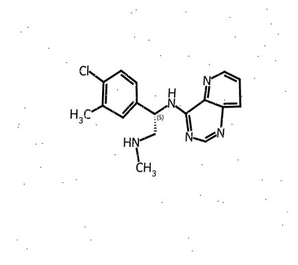 CNC[C@@H](Nc1ncnc2cccnc12)c1ccc(Cl)c(C)c1